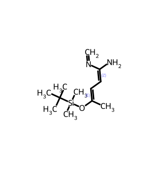 C=N/C(N)=C\C=C(/C)O[Si](C)(C)C(C)(C)C